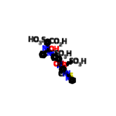 Cc1cc(N=Nc2ccc3c(S(=O)(=O)O)c(N=Nc4c(-c5ccccc5)nn(-c5cc(C(=O)O)cc(S(=O)(=O)O)c5)c4O)ccc3c2O)c(OCCCS(=O)(=O)O)cc1N=Nc1nc2ccccc2s1